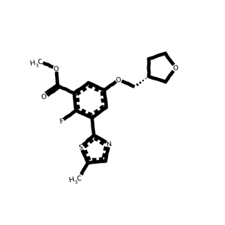 COC(=O)c1cc(OC[C@@H]2CCOC2)cc(-c2ncc(C)s2)c1F